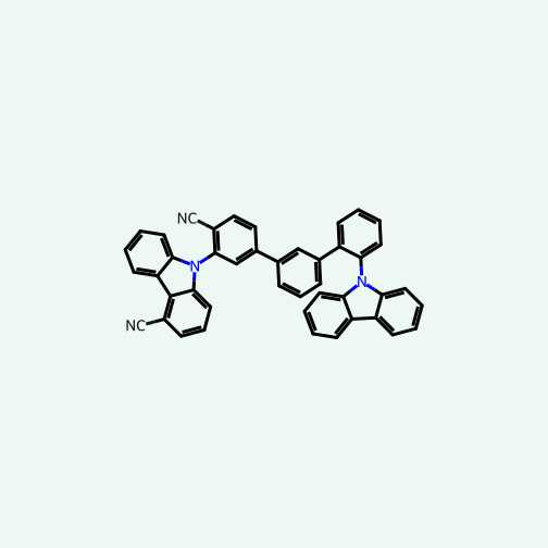 N#Cc1ccc(-c2cccc(-c3ccccc3-n3c4ccccc4c4ccccc43)c2)cc1-n1c2ccccc2c2c(C#N)cccc21